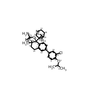 CC(C)Oc1ccc(-c2ccc3c(c2)CCC(C)(C)[C@]3(OC(N)=O)[C@@H]2CN3CCC2CC3)cc1Cl